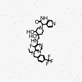 CCN(Cc1ccc(C(F)(F)F)cc1)c1ncnc(NCC2(O)CCN(C(C(N)=O)c3ccncc3)CC2O)c1F